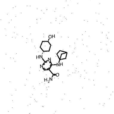 NC(=O)c1cnc(N[C@H]2CC[C@H](O)CC2)nc1NC12CCC(C1)C2